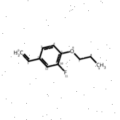 C=[C]c1ccc(OCCC)c(F)c1